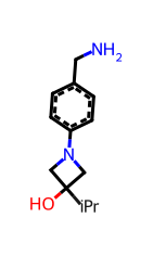 CC(C)C1(O)CN(c2ccc(CN)cc2)C1